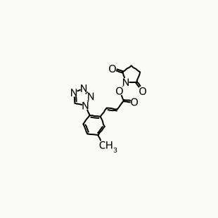 Cc1ccc(-n2cnnn2)c(C=CC(=O)ON2C(=O)CCC2=O)c1